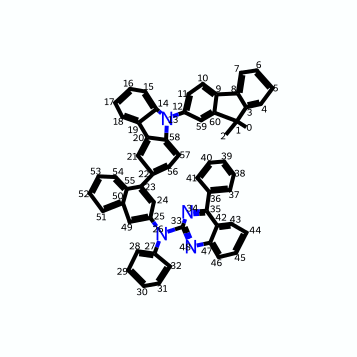 CC1(C)c2ccccc2-c2ccc(-n3c4ccccc4c4cc(-c5cc(N(c6ccccc6)c6nc(-c7ccccc7)c7ccccc7n6)cc6ccccc56)ccc43)cc21